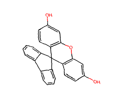 Oc1ccc2c(c1)Oc1cc(O)ccc1C21c2ccccc2-c2ccccc21